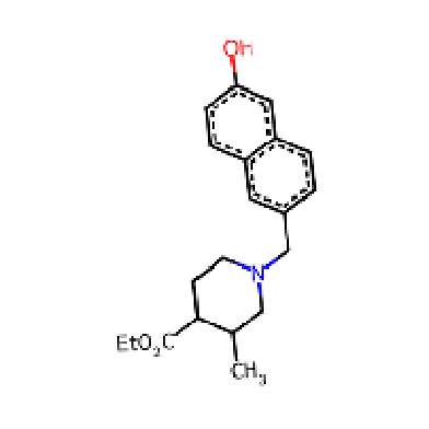 CCOC(=O)C1CCN(Cc2ccc3cc(O)ccc3c2)CC1C